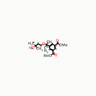 COC(=O)c1cc(C(=O)OC)cc(C(C)(C)OCCC(C)(C)O)c1